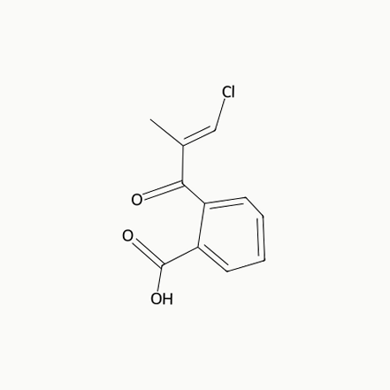 CC(=CCl)C(=O)c1ccccc1C(=O)O